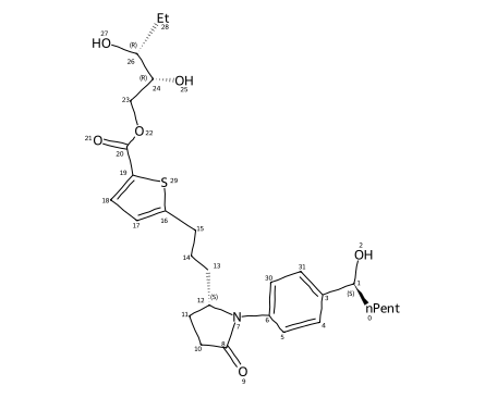 CCCCC[C@H](O)c1ccc(N2C(=O)CC[C@@H]2CCCc2ccc(C(=O)OC[C@@H](O)[C@H](O)CC)s2)cc1